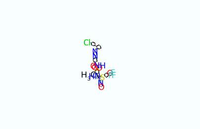 Cc1cc(S(=O)(=O)NC(=O)c2ccc(N3CCN(Cc4ccccc4-c4ccc(Cl)cc4)CC3)cc2)ccc1N[C@H](CCN1CCOCC1)CSc1ccc(OC(F)(F)F)cc1